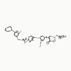 CC(=O)NC[C@H]1CN(c2ccc(-c3ccc(CNCc4cc(-c5ccccc5)oc4C)cc3)c(F)c2)C(=O)O1